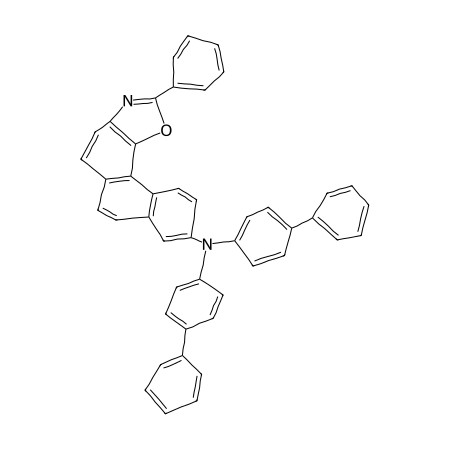 c1ccc(-c2ccc(N(c3ccc(-c4ccccc4)cc3)c3ccc4c(ccc5ccc6nc(-c7ccccc7)oc6c54)c3)cc2)cc1